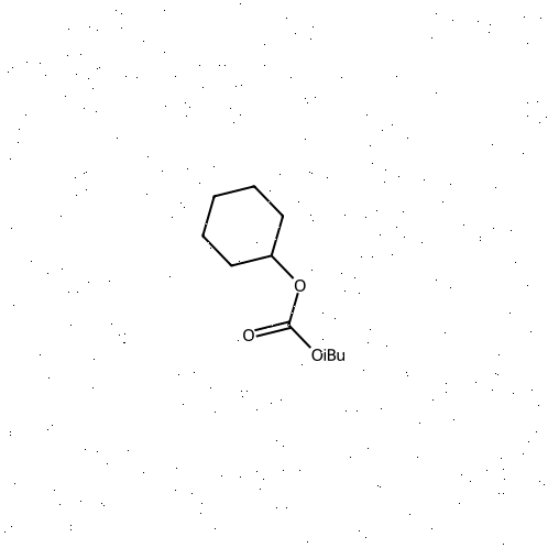 CC(C)[CH]OC(=O)OC1CCCCC1